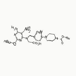 CCCCOc1nc(N)c([N+](=O)[O-])c(N(CC(=O)OCC)Cc2ccc(N3CCN(C(=O)OC(C)(C)C)CC3)nc2)n1